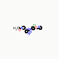 C=CC(=O)N1CCC[C@H](c2ccc3ncnc(Nc4ccc(OCc5ccccn5)c(Cl)c4)c3c2)C1